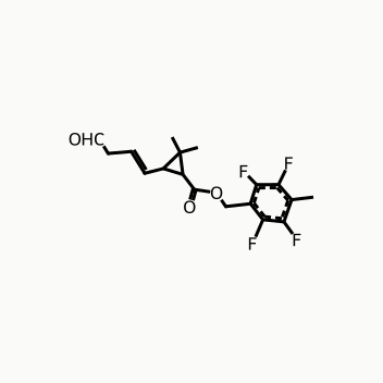 Cc1c(F)c(F)c(COC(=O)C2C(C=CCC=O)C2(C)C)c(F)c1F